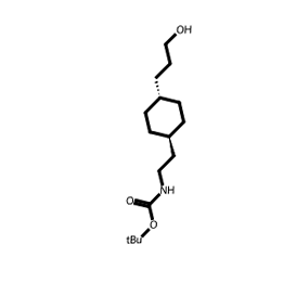 CC(C)(C)OC(=O)NCC[C@H]1CC[C@H](CCCO)CC1